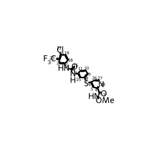 CONC(=O)c1cc(Sc2cccc(NC(=O)Nc3ccc(Cl)c(C(F)(F)F)c3)c2)ccn1